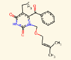 CCc1c(C(=O)c2ccccc2)n(COCC=C(C)C)c(=O)[nH]c1=O